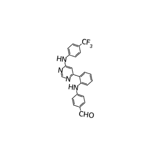 O=Cc1ccc(Nc2ccccc2-c2cc(Nc3ccc(C(F)(F)F)cc3)ncn2)cc1